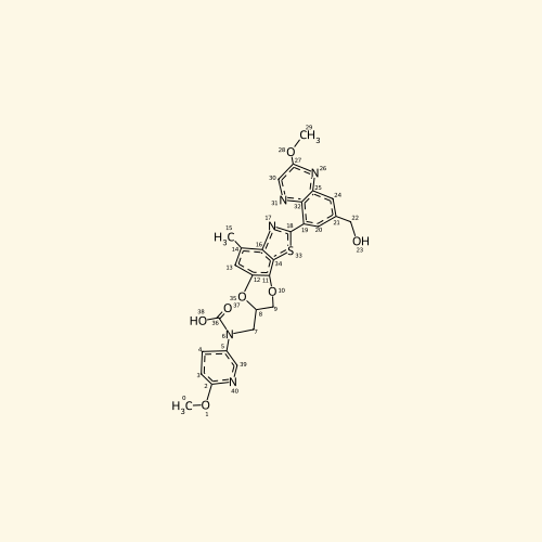 COc1ccc(N(CC2COc3c(cc(C)c4nc(-c5cc(CO)cc6nc(OC)cnc56)sc34)O2)C(=O)O)cn1